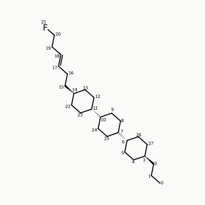 CCC[C@H]1CC[C@H](C2CCC([C@H]3CC[C@H](CC/C=C/CCF)CC3)CC2)CC1